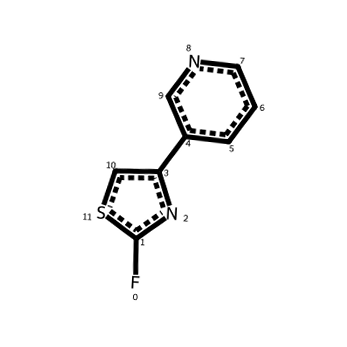 Fc1nc(-c2cccnc2)cs1